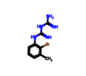 Cc1cccc(NC(=N)NC(=N)N)c1Br